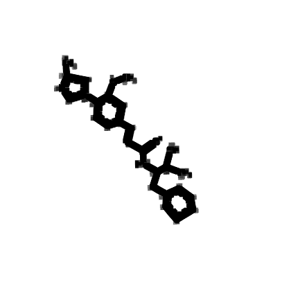 COc1cc(/C=C/C(=O)NC(Cc2ccccc2)C(C)O)ccc1-n1cnc(C)c1